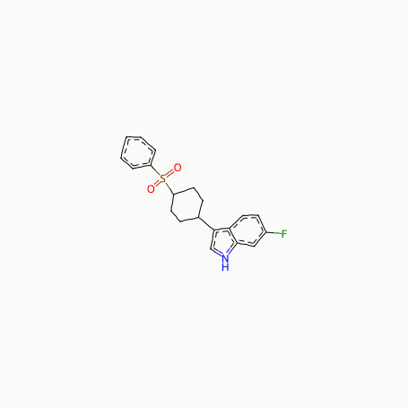 O=S(=O)(c1ccccc1)C1CCC(c2c[nH]c3cc(F)ccc23)CC1